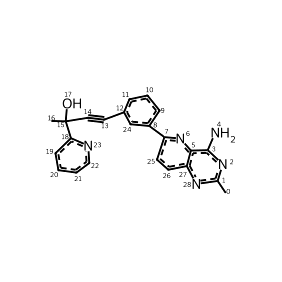 Cc1nc(N)c2nc(-c3cccc(C#CC(C)(O)c4ccccn4)c3)ccc2n1